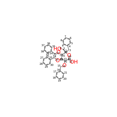 OC[C@@]1(Cc2ccccc2)O[C@H](O)[C@H](OCc2ccccc2)[C@@H](OCc2ccccc2)[C@@H]1OCc1ccccc1